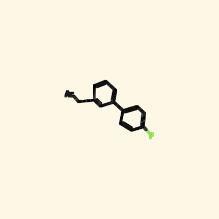 CC(=O)Cc1cccc(-c2ccc(F)cc2)c1